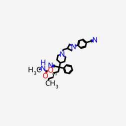 CCC[C@H](CC(C#N)(c1ccccc1)C1CCN(CC2CN(c3ccc(C#N)cc3)C2)CC1)OC(=O)NC